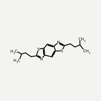 CC(C)CCc1nc2cc3sc(CCC(C)C)nc3cc2s1